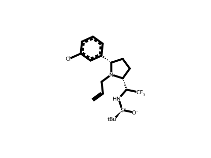 C=CCN1[C@@H](C(N[S@@+]([O-])C(C)(C)C)C(F)(F)F)CC[C@H]1c1cccc(Cl)c1